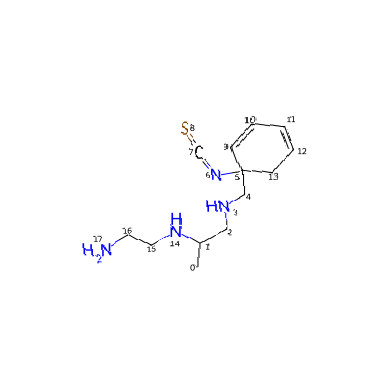 CC(CNCC1(N=C=S)C=CC=CC1)NCCN